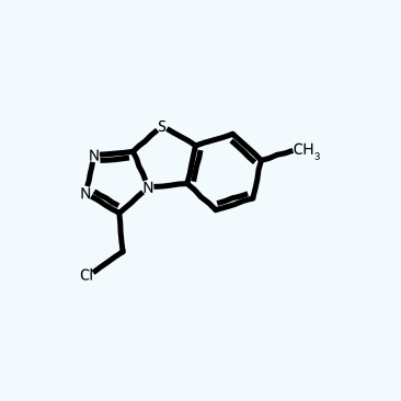 Cc1ccc2c(c1)sc1nnc(CCl)n12